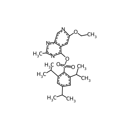 CCOc1cc2c(OS(=O)(=O)c3c(C(C)C)cc(C(C)C)cc3C(C)C)nc(C)nc2cn1